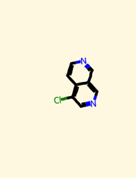 Clc1cncc2cnccc12